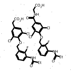 CCC(=O)Nc1cccc(COc2c(Cl)cc(C(=O)NCC(=O)O)cc2Cl)c1F.CCC(=O)Nc1cccc(COc2c(Cl)cc(CC(=O)O)cc2Cl)c1F